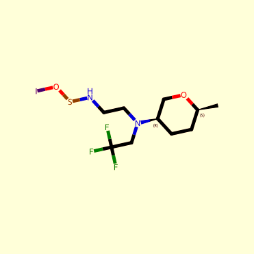 C[C@H]1CC[C@@H](N(CCNSOI)CC(F)(F)F)CO1